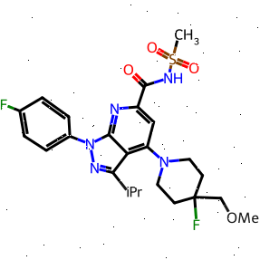 COCC1(F)CCN(c2cc(C(=O)NS(C)(=O)=O)nc3c2c(C(C)C)nn3-c2ccc(F)cc2)CC1